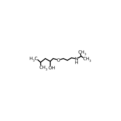 CC(C)CC(O)COCCCNC(C)C